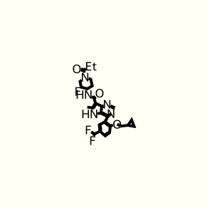 CCC(=O)N1CC[C@H](NC(=O)c2c(C)[nH]c3c(-c4cc(C(F)F)ccc4OCC4CC4)ncnc23)[C@H](F)C1